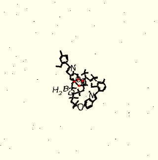 BC(C)(CC(C)(C)OC(=O)C(CC(C)(C)C)C(C)(C)C)OC(C(C)(C)CC(C)(C)Oc1ccc2cc(-c3ccc(C)cc3CC)n(C)c2c1)C(C)(C)CC(C)(C)Oc1ccc2cc(-c3ccc(C)cc3CC)n(C)c2c1